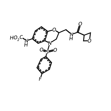 O=C(O)Nc1ccc2c(c1)N(S(=O)(=O)c1ccc(F)cc1)CC(CNC(=O)C1COC1)O2